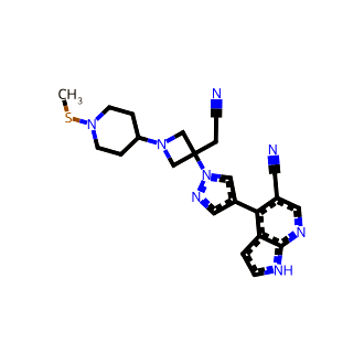 CSN1CCC(N2CC(CC#N)(n3cc(-c4c(C#N)cnc5[nH]ccc45)cn3)C2)CC1